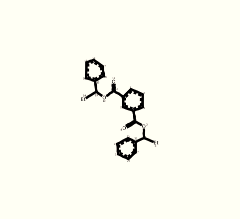 CCC(OC(=O)c1cccc(C(=O)OC(CC)c2ccccc2)c1)c1ccccc1